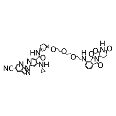 N#Cc1cnc2c(cnn2-c2cc(NC3CC3)c(C(=O)N[C@H]3CC[C@H](COCCOCCOCCNc4cccc5c4C(=O)N(C4CCC(=O)NC4=O)C5=O)C3)cn2)c1